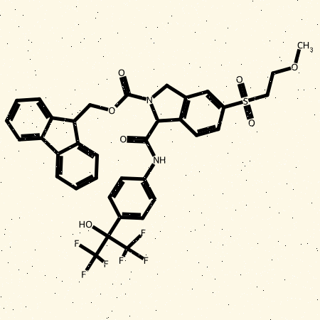 COCCS(=O)(=O)c1ccc2c(c1)CN(C(=O)OCC1c3ccccc3-c3ccccc31)C2C(=O)Nc1ccc(C(O)(C(F)(F)F)C(F)(F)F)cc1